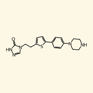 O=c1[nH]ncn1CCc1ccc(-c2ccc(N3CCNCC3)cc2)s1